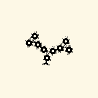 CC(C)c1ccc(N(c2ccc(-c3ccc(N(c4ccccc4)c4ccccc4)cc3)cc2)c2ccc(-c3ccc(N(c4ccccc4)c4ccccc4)cc3)cc2)cc1